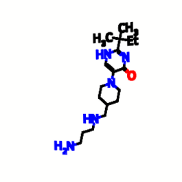 CCC(C)(C)c1nc(=O)c(N2CCC(CNCCCN)CC2)c[nH]1